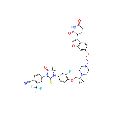 CC1(C)C(=O)N(c2ccc(C#N)c(C(F)(F)F)c2)C(=S)N1c1ccc(OCC2(N3CCN(CCOc4ccc5c(C6CCC(=O)NC6=O)coc5c4)CC3)CC2)c(F)c1